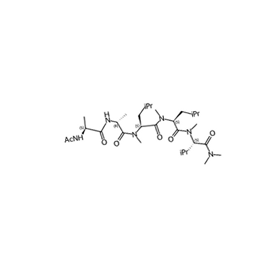 CC(=O)N[C@@H](C)C(=O)N[C@H](C)C(=O)N(C)[C@@H](CC(C)C)C(=O)N(C)[C@@H](CC(C)C)C(=O)N(C)[C@H](C(=O)N(C)C)C(C)C